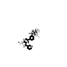 CN(C)S(=O)(=O)Nc1cccc(-c2cnc(N)c(C(=O)c3cccnc3)n2)c1